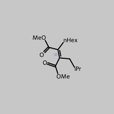 CCCCCC/C(C(=O)OC)=C(\CC(C)C)C(=O)OC